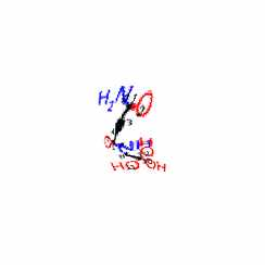 NC(=O)C#CC(=O)NCC(O)(O)O